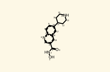 O=C(NO)c1cnc2ccc(C3CCNCC3)cc2c1